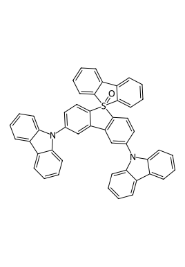 O=S12(c3ccccc3-c3ccccc31)c1ccc(-n3c4ccccc4c4ccccc43)cc1-c1cc(-n3c4ccccc4c4ccccc43)ccc12